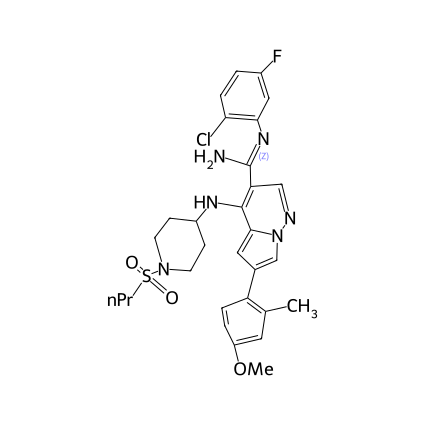 CCCS(=O)(=O)N1CCC(Nc2c(/C(N)=N/c3cc(F)ccc3Cl)cnn3cc(-c4ccc(OC)cc4C)cc23)CC1